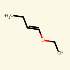 [CH2]CC=COCC